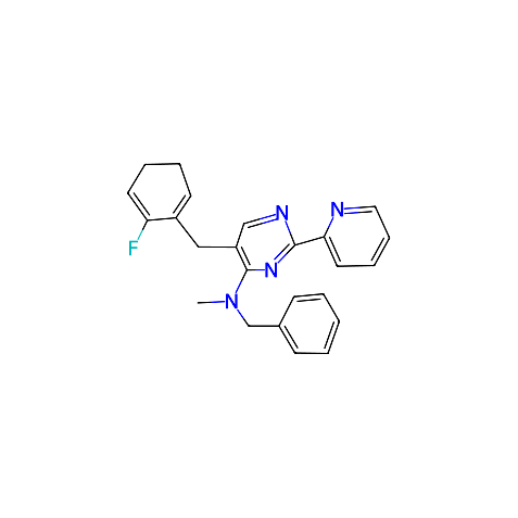 CN(Cc1ccccc1)c1nc(-c2ccccn2)ncc1CC1=CCCC=C1F